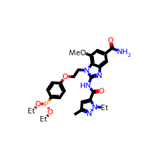 CCOP(OCC)c1ccc(OCCn2c(NC(=O)c3cc(C)nn3CC)nc3cc(C(N)=O)cc(OC)c32)cc1